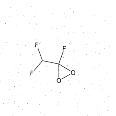 FC(F)C1(F)OO1